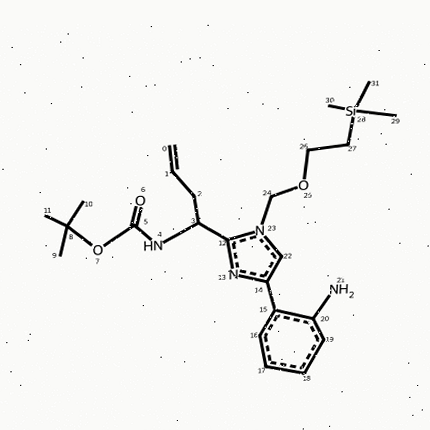 C=CCC(NC(=O)OC(C)(C)C)c1nc(-c2ccccc2N)cn1COCC[Si](C)(C)C